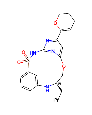 CC(C)C[C@@H]1COc2cc(C3=CCCCO3)nc(n2)NS(=O)(=O)c2cccc(c2)N1